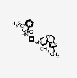 CCc1cc2c(s1)CCO[C@@]21CCN(C[C@H]2C[C@@H](NS(=O)(=O)c3ccccc3OC)C2)[C@@H](C)C1